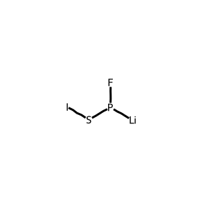 [Li][P](F)SI